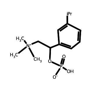 CC(C)c1cccc(C(C[N+](C)(C)C)OP(=O)([O-])O)c1